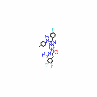 Cc1ccc(Nc2c(-c3ccc(F)cc3)nc3n2CCN(C(=O)[C@@H](N)Cc2ccc(F)c(F)c2)C3)cc1